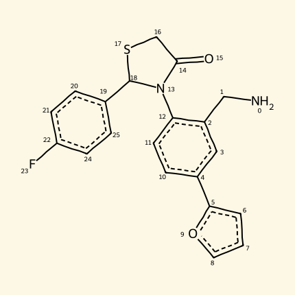 NCc1cc(-c2ccco2)ccc1N1C(=O)CSC1c1ccc(F)cc1